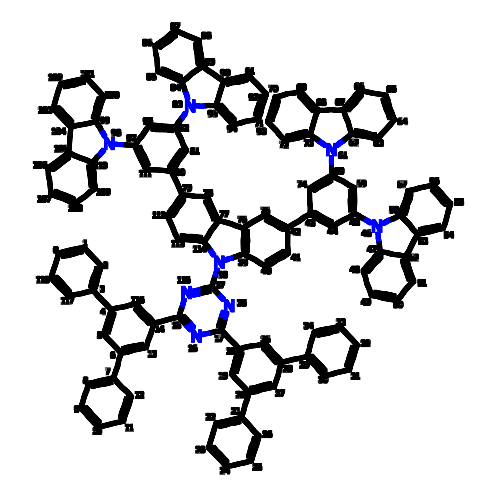 c1ccc(-c2cc(-c3ccccc3)cc(-c3nc(-c4cc(-c5ccccc5)cc(-c5ccccc5)c4)nc(-n4c5ccc(-c6cc(-n7c8ccccc8c8ccccc87)cc(-n7c8ccccc8c8ccccc87)c6)cc5c5cc(-c6cc(-n7c8ccccc8c8ccccc87)cc(-n7c8ccccc8c8ccccc87)c6)ccc54)n3)c2)cc1